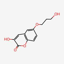 O=c1oc2ccc(OCCCO)cc2cc1O